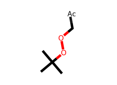 CC(=O)COOC(C)(C)C